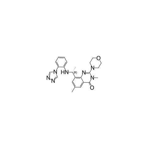 Cc1cc([C@@H](C)Nc2ccccc2-n2cnnc2)c2nc(N3CCOCC3)n(C)c(=O)c2c1